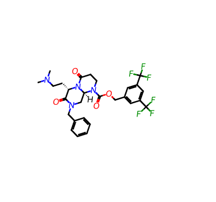 CN(C)CC[C@H]1C(=O)N(Cc2ccccc2)C[C@@H]2N(C(=O)OCc3cc(C(F)(F)F)cc(C(F)(F)F)c3)CCC(=O)N21